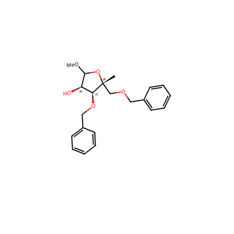 COC1O[C@](C)(COCc2ccccc2)[C@@H](OCc2ccccc2)[C@H]1O